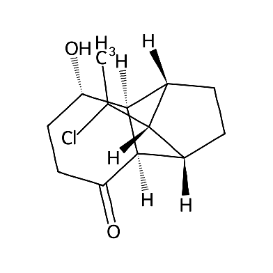 CC(Cl)[C@H]1[C@@H]2CC[C@H]1[C@H]1[C@@H]2C(=O)CC[C@@H]1O